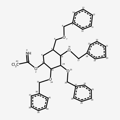 N=C(OC1CC(COCc2ccccc2)C(OCc2ccccc2)C(OCc2ccccc2)C1OCc1ccccc1)C(Cl)(Cl)Cl